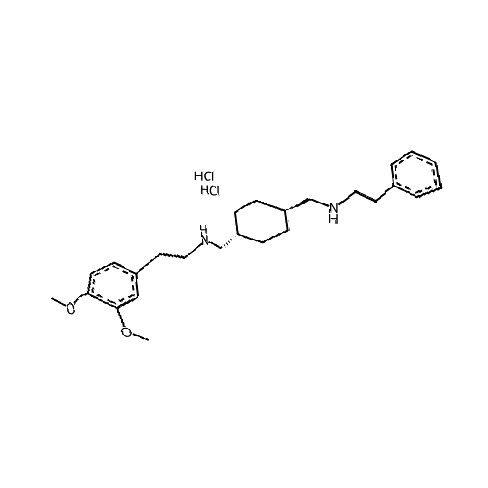 COc1ccc(CCNC[C@H]2CC[C@H](CNCCc3ccccc3)CC2)cc1OC.Cl.Cl